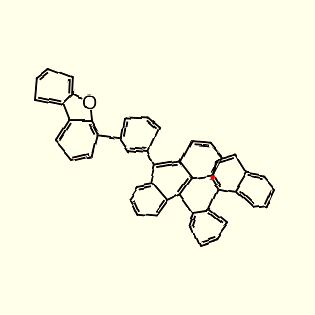 c1cc(-c2c3ccccc3c(-c3ccccc3-c3cccc4ccccc34)c3ccccc23)cc(-c2cccc3c2oc2ccccc23)c1